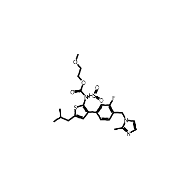 COCCOC(=O)N(c1sc(CC(C)C)cc1-c1ccc(Cn2ccnc2C)c(F)c1)[SH](=O)=O